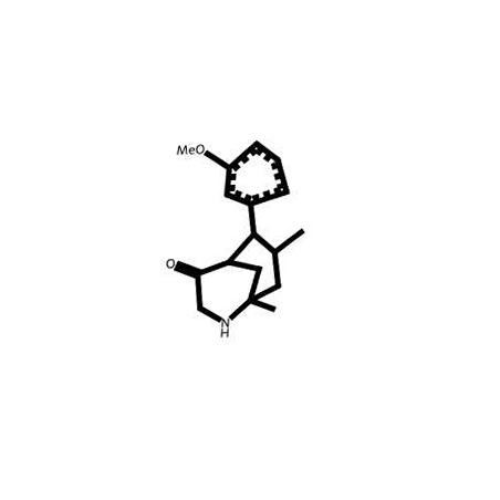 COc1cccc(C2C(C)CC3(C)CC2C(=O)CN3)c1